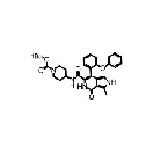 Cc1[nH]cc2c(-c3ccccc3Oc3ccccc3)c(C(=O)NC3CCN(C(=O)OC(C)(C)C)CC3)[nH]c(=O)c12